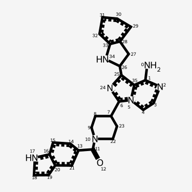 Nc1nccn2c(C3CCN(C(=O)c4ccc5[nH]ccc5c4)CC3)nc(C3Cc4ccccc4N3)c12